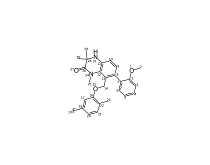 COc1ccccc1-c1ccc2c(c1COc1cc(F)ccc1C)N(C)C(=O)C(C)(C)N2